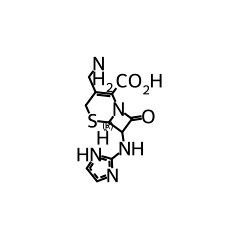 NCC1=C(C(=O)O)N2C(=O)C(Nc3ncc[nH]3)[C@H]2SC1